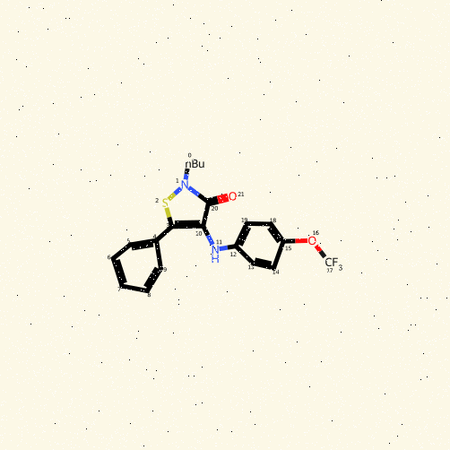 CCCCn1sc(-c2ccccc2)c(Nc2ccc(OC(F)(F)F)cc2)c1=O